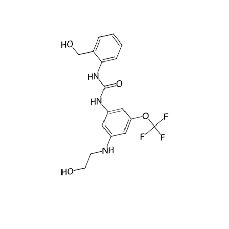 O=C(Nc1cc(NCCO)cc(OC(F)(F)F)c1)Nc1ccccc1CO